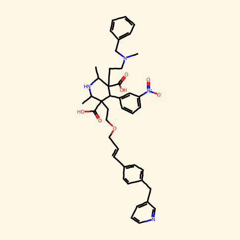 CC1NC(C)C(CCN(C)Cc2ccccc2)(C(=O)O)C(c2cccc([N+](=O)[O-])c2)C1(CCOCC=Cc1ccc(Cc2cccnc2)cc1)C(=O)O